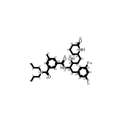 CCCN(CCC)C(=O)c1cc(C)cc(C(=O)NC(Cc2cc(F)cc(F)c2)C(O)CCC2CCCC(=O)N2)c1